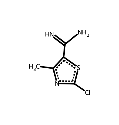 Cc1nc(Cl)sc1C(=N)N